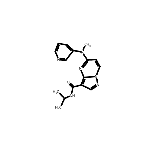 CC(C)NC(=O)c1cnn2ccc(N(C)c3cccnc3)nc12